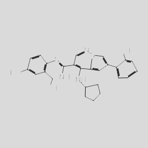 CCc1cc(O)ccc1/N=C(\N)c1cnn2cc(-c3ccccc3C)cc2c1NC1CCCC1